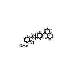 COc1cccc(C(=O)Nc2ccc(-c3cccc4c3C=CCC4)cc2)c1Cl